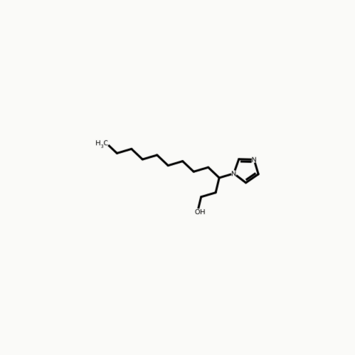 CCCCCCCCCC(CCO)n1ccnc1